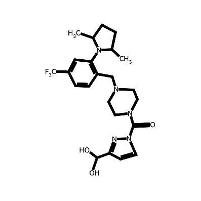 CC1CCC(C)N1c1cc(C(F)(F)F)ccc1CN1CCN(C(=O)n2ccc(C(O)O)n2)CC1